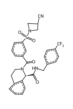 N#CC1CN(S(=O)(=O)c2cccc(C(=O)N3CCc4ccccc4[C@@H]3C(=O)NCc3ccc(C(F)(F)F)cc3)c2)C1